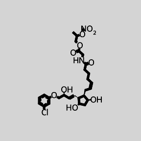 CC(COC(=O)CNC(=O)CCC/C=C\C[C@@H]1[C@@H](/C=C/[C@@H](O)COc2cccc(Cl)c2)[C@H](O)C[C@@H]1O)O[N+](=O)[O-]